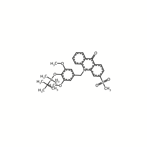 COc1cc(Cn2c3ccccc3c(=O)c3ccc(S(C)(=O)=O)cc32)cc(OC)c1O[Si](C)(C)C(C)(C)C